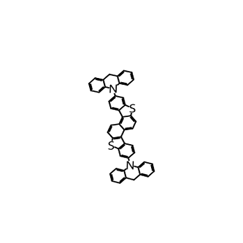 c1ccc2c(c1)Cc1ccccc1N2c1ccc2c(c1)sc1ccc3c(ccc4sc5cc(N6c7ccccc7Cc7ccccc76)ccc5c43)c12